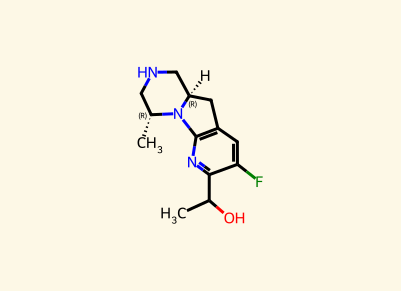 CC(O)c1nc2c(cc1F)C[C@@H]1CNC[C@@H](C)N21